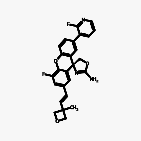 CC1(/C=C/c2cc(F)c3c(c2)[C@]2(COC(N)=N2)c2cc(-c4cccnc4F)ccc2O3)COC1